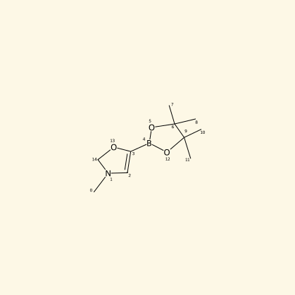 CN1C=C(B2OC(C)(C)C(C)(C)O2)OC1